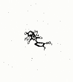 O=C1C[C@@H]2CC[C@H]1[C@@H]1C(=O)N(c3ccc(F)c([N+](=O)[O-])c3)C(=O)[C@H]21